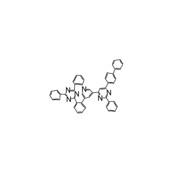 c1ccc(-c2ccc(-c3cc(-c4cncc(-c5ccccc5-c5nc(-c6ccccc6)nc(-c6ccccc6)n5)c4)nc(-c4ccccc4)n3)cc2)cc1